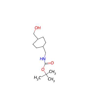 CC(C)(C)OC(=O)NCC1CCC(CO)CC1